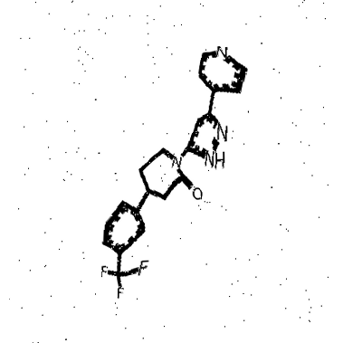 O=C1CC(c2cccc(C(F)(F)F)c2)CCN1c1cc(-c2ccncc2)n[nH]1